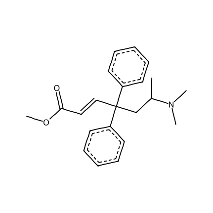 COC(=O)/C=C/C(CC(C)N(C)C)(c1ccccc1)c1ccccc1